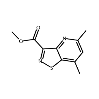 COC(=O)c1nsc2c(C)cc(C)nc12